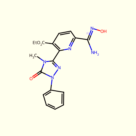 CCOC(=O)c1ccc(/C(N)=N/O)nc1-c1nn(-c2ccccc2)c(=O)n1C